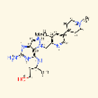 CCC[C@@H](CCO)Nc1nc(N)nc2cnn(Cc3ncc(C4CCN(C(C)C)CC4)cc3OC)c12